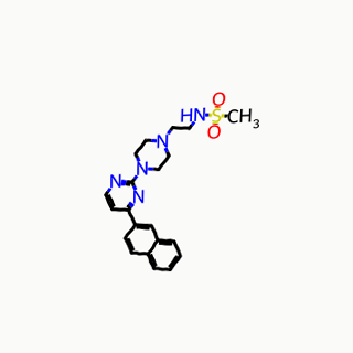 CS(=O)(=O)NCCN1CCN(c2nccc(-c3ccc4ccccc4c3)n2)CC1